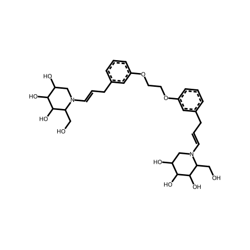 OCC1C(O)C(O)C(O)CN1C=CCc1cccc(OCCOc2cccc(CC=CN3CC(O)C(O)C(O)C3CO)c2)c1